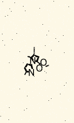 CCOC(=O)c1cc(I)c(C)n1-c1ccc(C)nc1